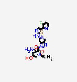 C=CC(=O)N1CC(O)CC1(CCn1cnc2cnc(Nc3ncc(-c4ncccc4F)s3)cc21)C(N)=O